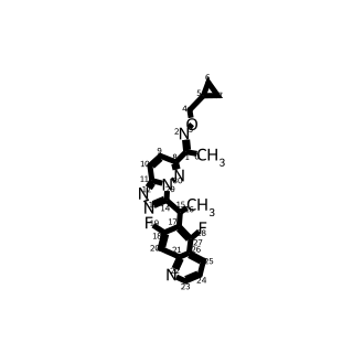 CC(=NOCC1CC1)c1ccc2nnc(C(C)c3c(F)cc4ncccc4c3F)n2n1